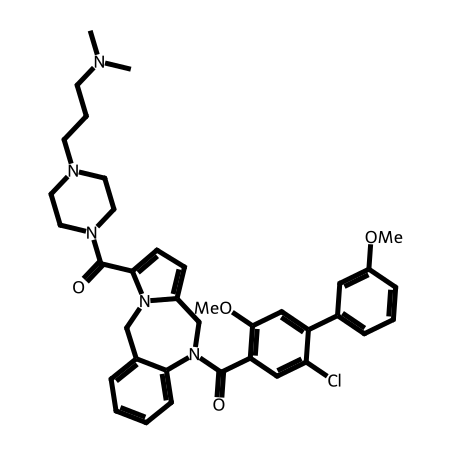 COc1cccc(-c2cc(OC)c(C(=O)N3Cc4ccc(C(=O)N5CCN(CCCN(C)C)CC5)n4Cc4ccccc43)cc2Cl)c1